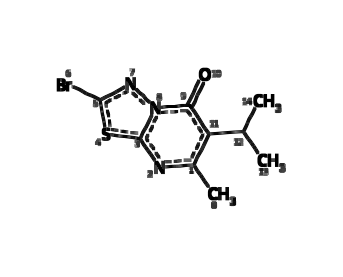 Cc1nc2sc(Br)nn2c(=O)c1C(C)C